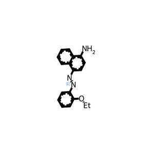 CCOc1ccccc1/N=N/c1ccc(N)c2ccccc12